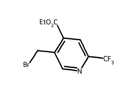 CCOC(=O)c1cc(C(F)(F)F)ncc1CBr